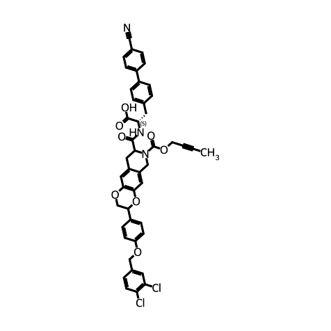 CC#CCOC(=O)N1Cc2cc3c(cc2CC1C(=O)N[C@@H](Cc1ccc(-c2ccc(C#N)cc2)cc1)C(=O)O)OCC(c1ccc(OCc2ccc(Cl)c(Cl)c2)cc1)O3